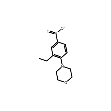 CCc1cc([N+](=O)[O-])ccc1N1CCOCC1